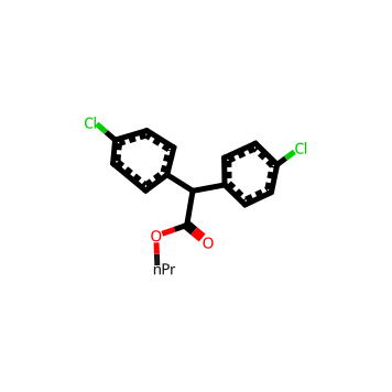 CCCOC(=O)C(c1ccc(Cl)cc1)c1ccc(Cl)cc1